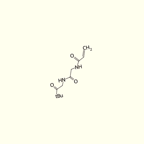 C=CC(=O)NCC(=O)NCC(=O)C(C)(C)C